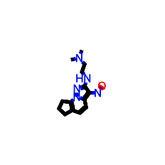 CN(C)CCNc1nn2c3c(ccc2c1N=O)CCC3